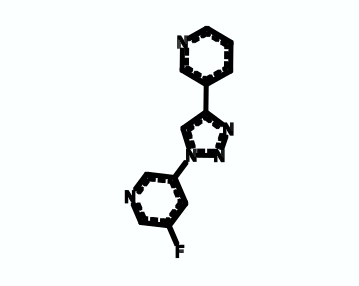 Fc1cncc(-n2cc(-c3cccnc3)nn2)c1